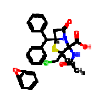 CC(=O)NC1(C(=O)O)N2C(=O)C[C@@]2(C(c2ccccc2)c2ccccc2)SC1(C)CCl.c1ccc2c(c1)O2